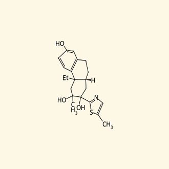 CCC12CC(C)(O)C(O)(c3ncc(C)s3)C[C@H]1CCc1cc(O)ccc12